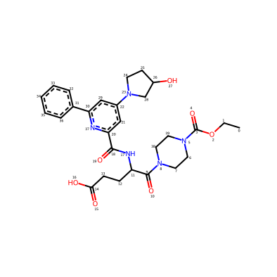 CCOC(=O)N1CCN(C(=O)C(CCC(=O)O)NC(=O)c2cc(N3CCC(O)C3)cc(-c3ccccc3)n2)CC1